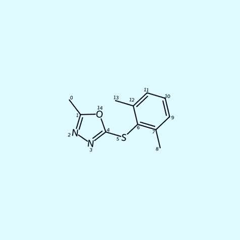 Cc1nnc(Sc2c(C)cccc2C)o1